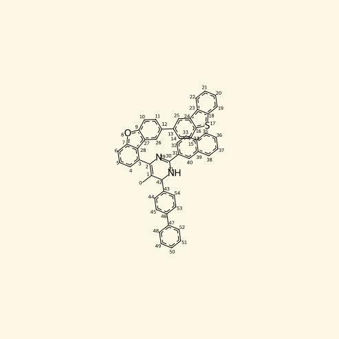 CC1=C(c2cccc3oc4ccc(-c5ccc6sc7ccccc7c6c5)cc4c23)N=C(c2ccc3ccccc3c2)NC1c1ccc(-c2ccccc2)cc1